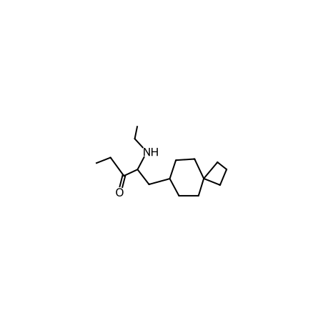 CCNC(CC1CCC2(CCC2)CC1)C(=O)CC